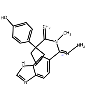 C=C(N(C)/C(=N\N)c1ccc2nc[nH]c2c1)C1(c2ccc(O)cc2)CCC1